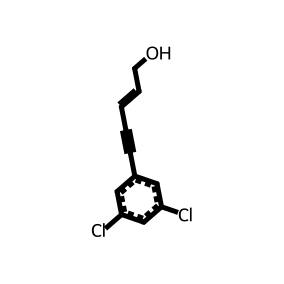 OCC=CC#Cc1cc(Cl)cc(Cl)c1